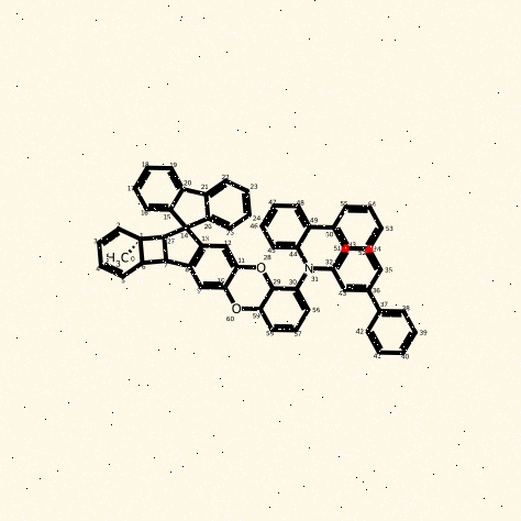 C[C@@]12C=CC=CC1C1c3cc4c(cc3C3(c5ccccc5-c5ccccc53)C12)OC1C(N(c2cccc(-c3ccccc3)c2)c2ccccc2-c2ccccc2)=CC=CC1O4